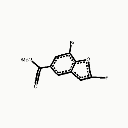 COC(=O)c1cc(Br)c2oc(F)cc2c1